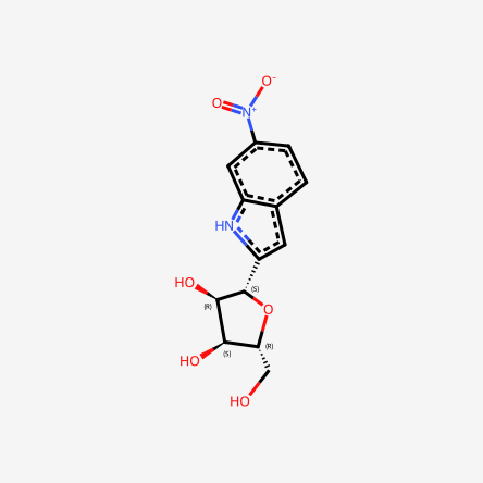 O=[N+]([O-])c1ccc2cc([C@@H]3O[C@H](CO)[C@@H](O)[C@H]3O)[nH]c2c1